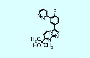 CC(C)(O)c1ccn2c(-c3ccc(F)c(-c4cccnn4)c3)cnc2n1